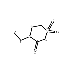 CCN1CCS(=O)(=O)CC1=O